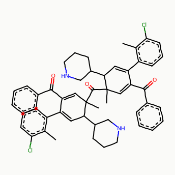 Cc1c(Cl)cccc1C1=CC(C2CCCNC2)C(C)(C(=O)C2(C)C=C(C(=O)c3ccccc3)C(c3cccc(Cl)c3C)=CC2C2CCCNC2)C=C1C(=O)c1ccccc1